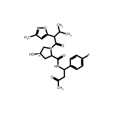 CC(=O)CC(NC(=O)C1C[C@@H](O)CN1C(=O)C(c1cc(C)no1)C(C)C)c1ccc(F)cc1